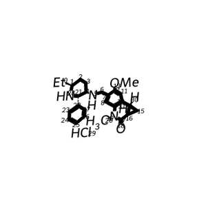 CC[C@H]1CC[C@H](NCc2cc3c(cc2OC)[C@@H]2C[C@@H]2C(=O)N3C)[C@H](c2ccccc2)N1.Cl